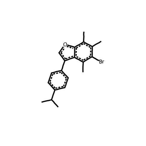 Cc1c(Br)c(C)c2c(-c3ccc(C(C)C)cc3)coc2c1C